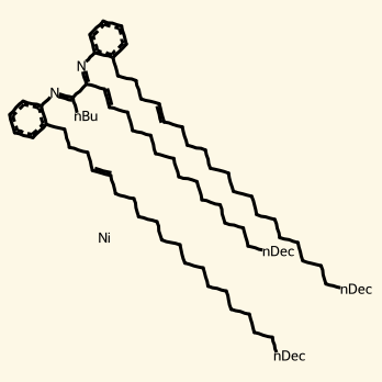 CCCCCCCCCCCCCCCCCCCCCCC=CC(=Nc1ccccc1CCCC=CCCCCCCCCCCCCCCCCCCCCCCCC)C(CCCC)=Nc1ccccc1CCCC=CCCCCCCCCCCCCCCCCCCCCCCCC.[Ni]